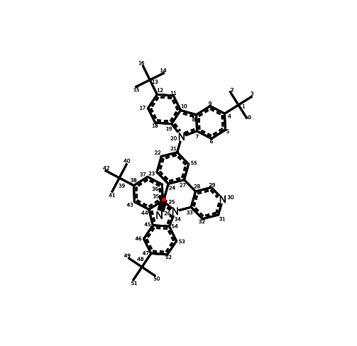 CC(C)(C)c1ccc2c(c1)c1cc(C(C)(C)C)ccc1n2-c1ccc(C#N)c(-c2cnccc2-n2c3ccc(C(C)(C)C)cc3c3cc(C(C)(C)C)ccc32)c1